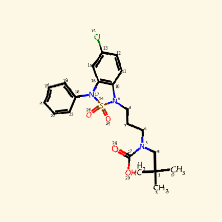 CC(C)(C)CN(CCCN1c2ccc(Cl)cc2N(c2ccccc2)S1(=O)=O)C(=O)O